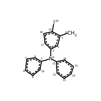 Cc1cc(N(c2ccccc2)c2ccccc2)ccc1I